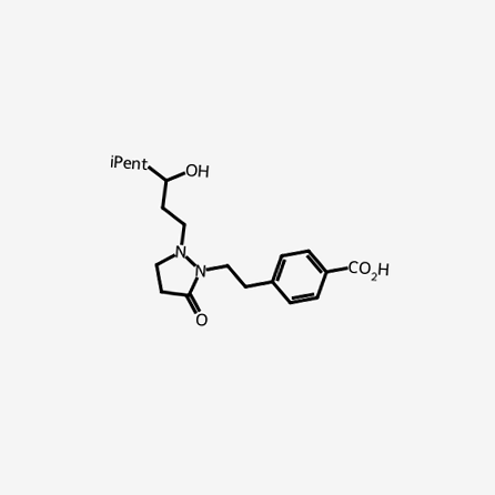 CCCC(C)C(O)CCN1CCC(=O)N1CCc1ccc(C(=O)O)cc1